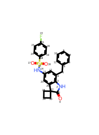 O=C1Nc2c(Cc3ccccc3)cc(NS(=O)(=O)c3ccc(F)cc3)cc2C12CCC2